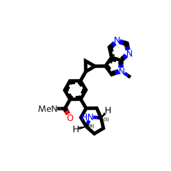 CNC(=O)c1ccc(C2CC2c2cn(C)c3ncncc23)cc1C1C[C@H]2CC[C@@H](C1)N2